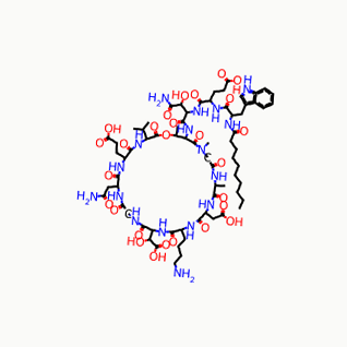 CCCCCCCCCC(=O)NC(Cc1c[nH]c2ccccc12)C(=O)NC(CCC(=O)O)C(=O)NC(C(=O)NC1C(=O)N(C)CC(=O)NC(C)C(=O)NC(CC(=O)O)C(=O)NC(CCCCN)C(=O)NC(C(O)C(=O)O)C(=O)NCC(=O)NC(CC(N)=O)C(=O)NC(CCC(=O)O)C(=O)NC(C(C)C)C(=O)OC1C)C(O)C(N)=O